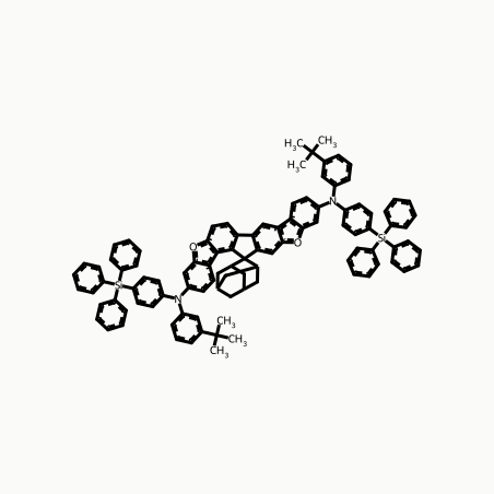 CC(C)(C)c1cccc(N(c2ccc([Si](c3ccccc3)(c3ccccc3)c3ccccc3)cc2)c2ccc3c(c2)oc2cc4c(cc23)-c2ccc3oc5cc(N(c6ccc([Si](c7ccccc7)(c7ccccc7)c7ccccc7)cc6)c6cccc(C(C)(C)C)c6)ccc5c3c2C42C3CC4CC(C3)CC2C4)c1